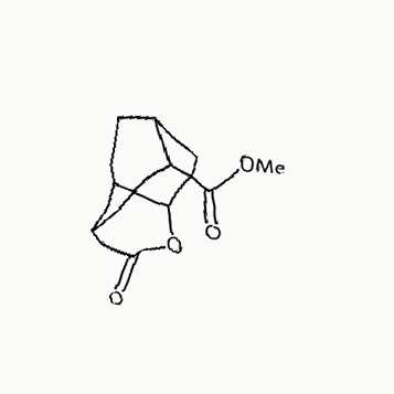 COC(=O)C1C2CC3OC(=O)C1C3C2